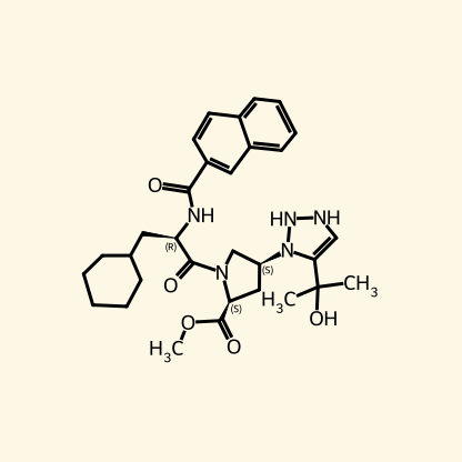 COC(=O)[C@@H]1C[C@H](N2NNC=C2C(C)(C)O)CN1C(=O)[C@@H](CC1CCCCC1)NC(=O)c1ccc2ccccc2c1